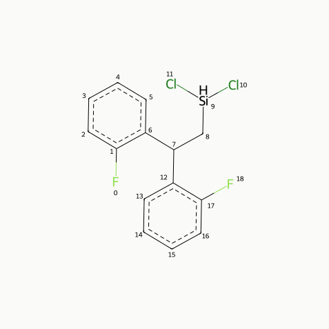 Fc1ccccc1C(C[SiH](Cl)Cl)c1ccccc1F